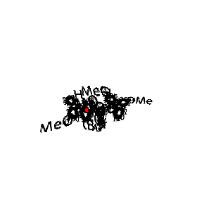 COc1ccc(C(Nc2ccn([C@@H]3O[C@H](COC(c4ccccc4)(c4ccc(OC)cc4)c4ccc(OC)cc4)C[C@H]3O[Si](C)(C)C(C)(C)C)c(=O)n2)(c2ccccc2)c2ccccc2)cc1